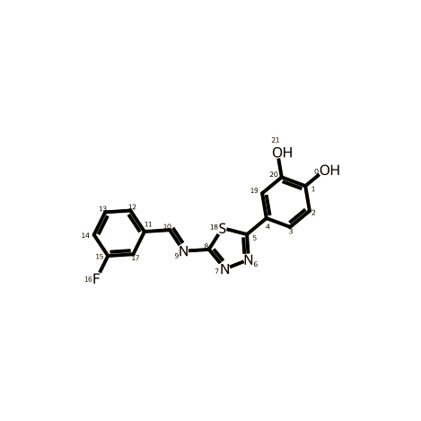 Oc1ccc(-c2nnc(N=Cc3cccc(F)c3)s2)cc1O